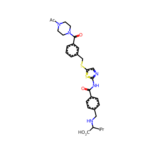 CC(=O)N1CCN(C(=O)c2cccc(CSc3cnc(NC(=O)c4ccc(CNC(C(=O)O)C(C)C)cc4)s3)c2)CC1